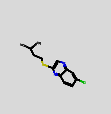 N#CC(C#N)CCSc1cnc2cc(Cl)ccc2n1